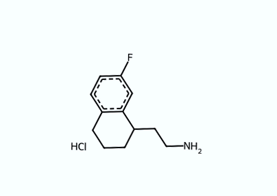 Cl.NCCC1CCCc2ccc(F)cc21